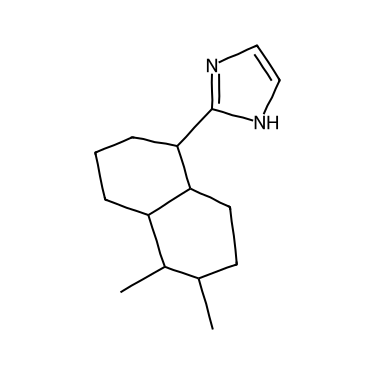 CC1CCC2C(c3ncc[nH]3)CCCC2C1C